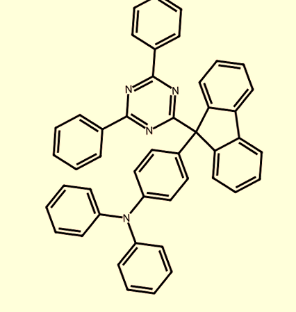 c1ccc(-c2nc(-c3ccccc3)nc(C3(c4ccc(N(c5ccccc5)c5ccccc5)cc4)c4ccccc4-c4ccccc43)n2)cc1